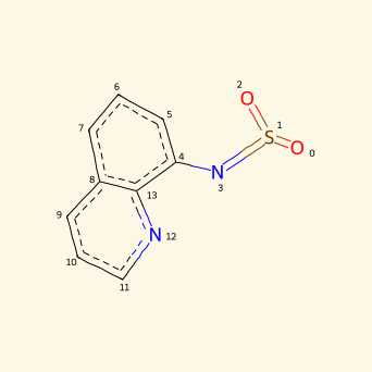 O=S(=O)=Nc1cccc2cccnc12